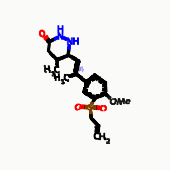 C=CCS(=O)(=O)c1cc(/C(C)=C/C2NNC(=O)CC2C)ccc1OC